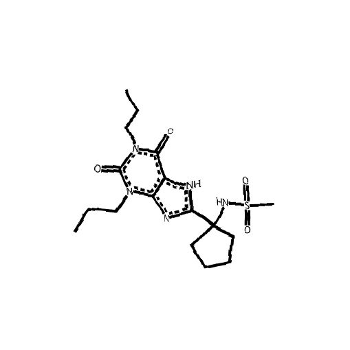 CCCn1c(=O)c2[nH]c(C3(NS(C)(=O)=O)CCCC3)nc2n(CCC)c1=O